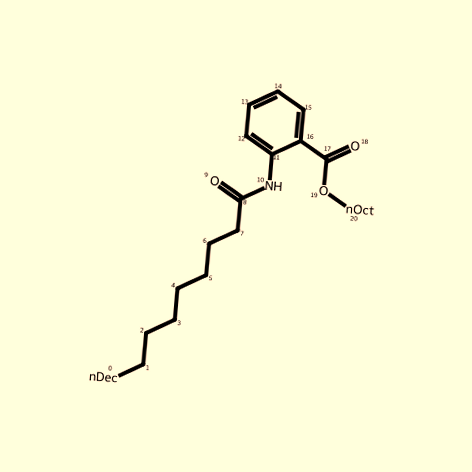 CCCCCCCCCCCCCCCCCC(=O)Nc1ccccc1C(=O)OCCCCCCCC